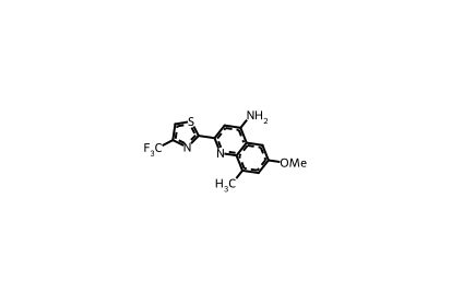 COc1cc(C)c2nc(-c3nc(C(F)(F)F)cs3)cc(N)c2c1